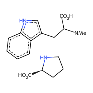 CNC(Cc1c[nH]c2ccccc12)C(=O)O.O=C(O)[C@@H]1CCCN1